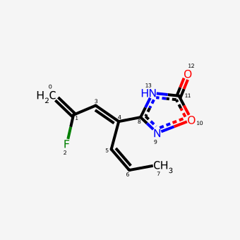 C=C(F)/C=C(\C=C/C)c1noc(=O)[nH]1